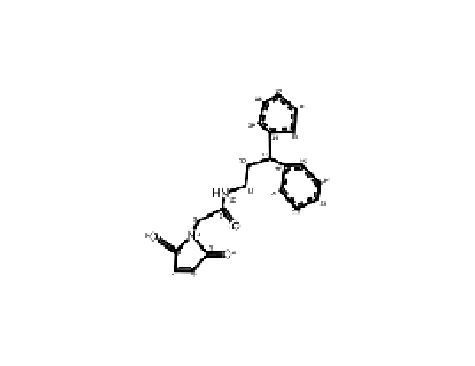 O=C(CN1C(=O)C=CC1=O)NCCC(c1ccccc1)c1ccccc1